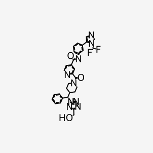 O=C(c1cc(-c2nc3cc(-c4cncn4C(F)F)ccc3o2)ccn1)N1CCC(C(c2ccccc2)n2nnc(CO)n2)CC1